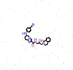 N#Cc1ccc(NC2CCc3nc(C(=O)NC[C@H](O)CN4CCc5ccccc5C4)cn3C2)cc1